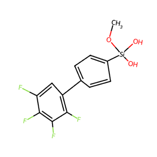 CO[Si](O)(O)c1ccc(-c2cc(F)c(F)c(F)c2F)cc1